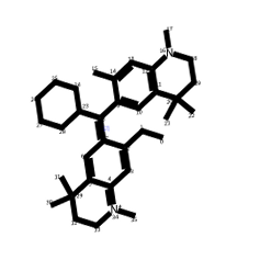 CCc1cc2c(c/c1=C(/c1cc3c(cc1C)N(C)CCC3(C)C)C1CCCCC1)C(C)(C)CC[N+]=2C